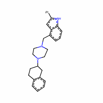 CC(C)c1cc2c(CN3CCN(C4CCc5ccccc5C4)CC3)cccc2[nH]1